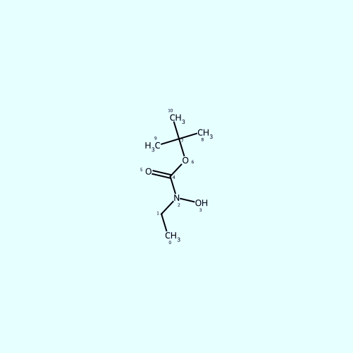 CCN(O)C(=O)OC(C)(C)C